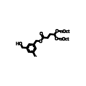 [CH2]c1cc(CO)cc(COC(=O)CCC(OCCCCCCCC)OCCCCCCCC)c1